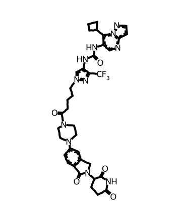 O=C1CCC(N2Cc3cc(N4CCN(C(=O)CCCCn5cc(NC(=O)Nc6cnc7ccnn7c6C6CCC6)c(C(F)(F)F)n5)CC4)ccc3C2=O)C(=O)N1